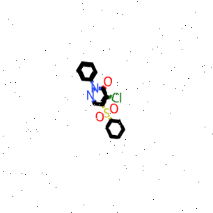 O=c1c(Cl)c(S(=O)(=O)C2CCCCC2)cnn1-c1ccccc1